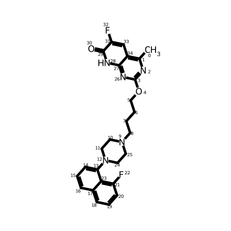 Cc1nc(OCCCCN2CCN(c3cccc4cccc(F)c34)CC2)nc2[nH]c(=O)c(F)cc12